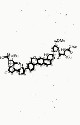 CC[C@H](C)C(NC(=O)OC)C(=O)N1C[C@@H](COC)C[C@H]1c1nc2ccc3cc4c(cc3c2[nH]1)OCc1cc(-c2cnc(C3C[C@H](C)CN3C(=O)[C@@H](NC(=O)OC)[C@@H](C)CC)[nH]2)ccc1-4